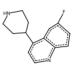 Fc1ccc2nccc(C3CCNCC3)c2c1